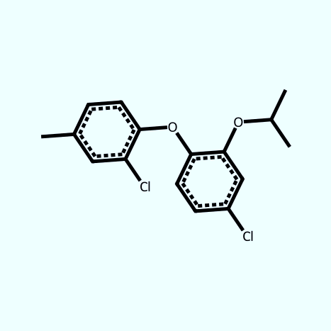 Cc1ccc(Oc2ccc(Cl)cc2OC(C)C)c(Cl)c1